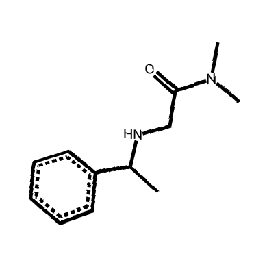 CC(NCC(=O)N(C)C)c1ccccc1